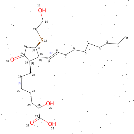 CCCCCCCC/C=C/[C@H]1[C@H](SCCO)CC(=O)[C@@H]1C/C=C\CCC(O)C(=O)O